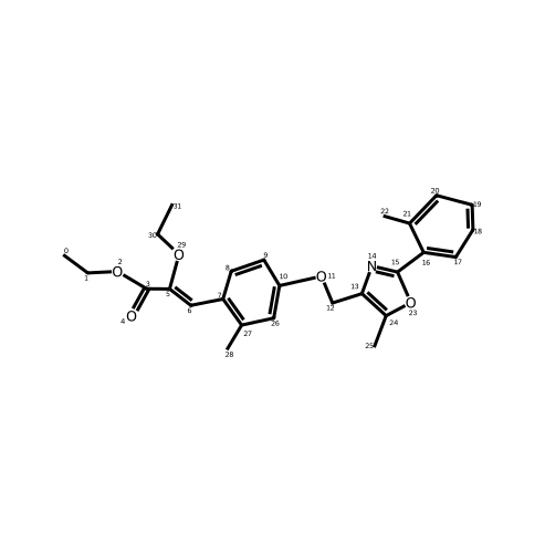 CCOC(=O)C(=Cc1ccc(OCc2nc(-c3ccccc3C)oc2C)cc1C)OCC